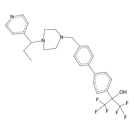 CCC(c1ccncc1)N1CCN(Cc2ccc(-c3ccc(C(O)(C(F)(F)F)C(F)(F)F)cc3)cc2)CC1